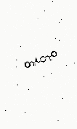 O=C(CN1CCN(CC(O)c2ccccc2)CC1)NCc1ccccc1